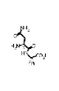 CCC[C@H](NC(=O)[C@@H](N)CC(N)=O)C(=O)O